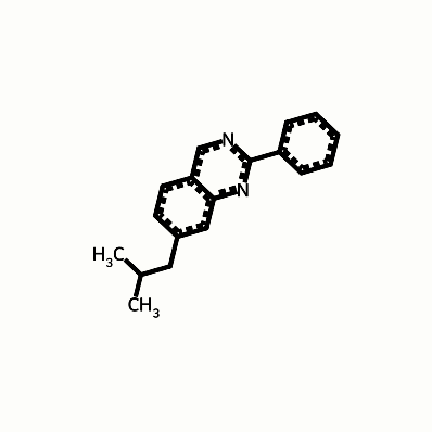 CC(C)Cc1ccc2cnc(-c3ccccc3)nc2c1